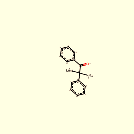 CNC(NC)(C(=O)c1ccccc1)c1ccccc1